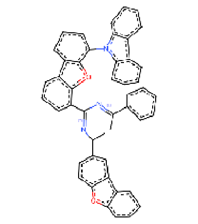 C/C(=N\C(=N/C(C)c1ccc2oc3ccccc3c2c1)c1cccc2c1oc1c(-n3c4ccccc4c4ccccc43)cccc12)c1ccccc1